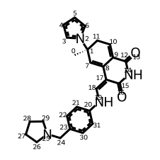 C[C@@]1(n2cccc2)C=C2C(=CC1)C(=O)NC(=O)/C2=C\Nc1ccc(CN2CCCC2)cc1